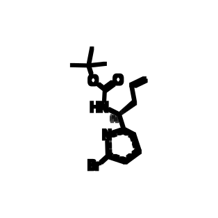 C=CC[C@H](NC(=O)OC(C)(C)C)c1cccc(Br)n1